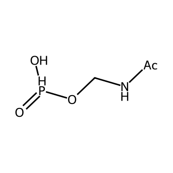 CC(=O)NCO[PH](=O)O